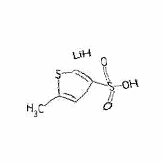 Cc1cc(S(=O)(=O)O)cs1.[LiH]